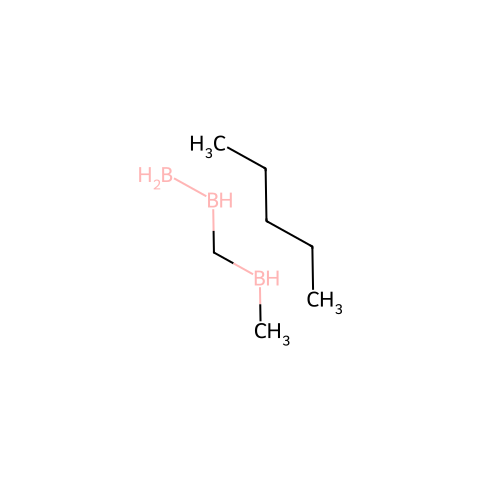 BBCBC.CCCCC